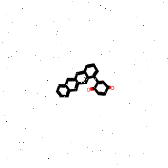 O=C1C=CC(=O)C(c2cccc3cc4cc5ccccc5cc4cc23)=C1